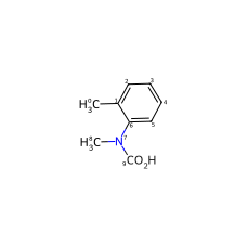 Cc1ccccc1N(C)C(=O)O